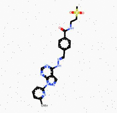 COc1cccc(-n2ncc3c(NN=Cc4ccc(C(=O)NCCS(C)(=O)=O)cc4)ncnc32)n1